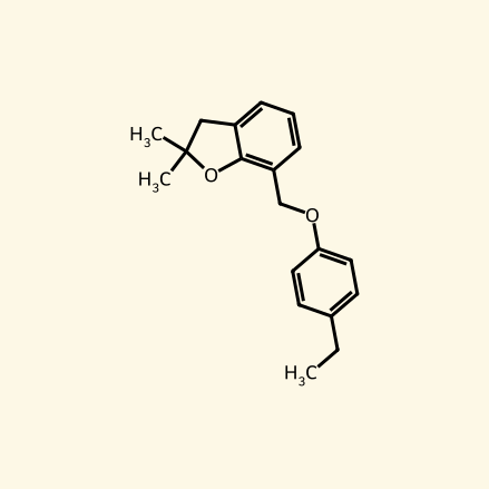 CCc1ccc(OCc2cccc3c2OC(C)(C)C3)cc1